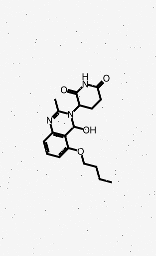 CCCCOc1cccc2c1C(O)N(C1CCC(=O)NC1=O)C(C)=N2